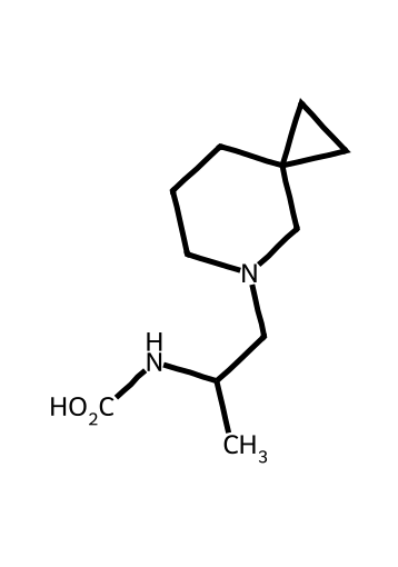 CC(CN1CCCC2(CC2)C1)NC(=O)O